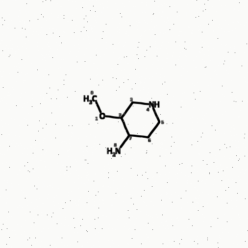 COC1CNCCC1N